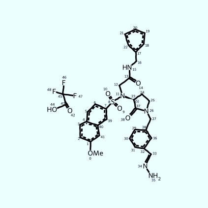 COc1ccc2ccc(S(=O)(=O)N(CC(=O)NCc3ccccc3)[C@H]3CCN(Cc4cccc(C=NN)c4)C3=O)cc2c1.O=C(O)C(F)(F)F